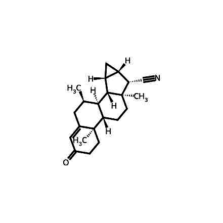 C[C@@H]1CC2=CC(=O)CC[C@]2(C)[C@H]2CC[C@@]3(C)[C@@H]([C@@H]4C[C@@H]4[C@@H]3C#N)[C@H]12